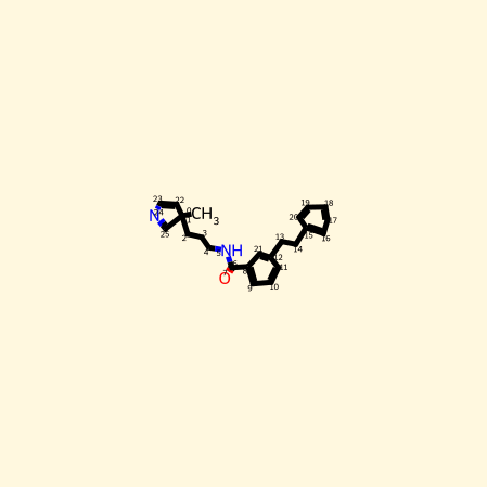 CC1(CCCNC(=O)c2cccc(CCc3ccccc3)c2)C=CN=C1